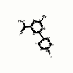 O=C(O)c1cc(Br)nc(-c2ccc(F)cc2)c1